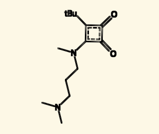 CN(C)CCCN(C)c1c(C(C)(C)C)c(=O)c1=O